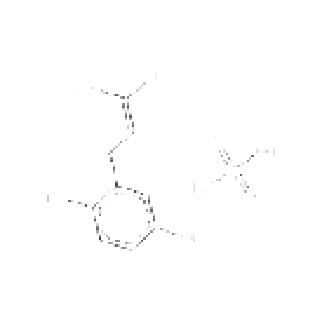 CC(C)=CCc1cc(O)ccc1O.O=S(=O)(O)O